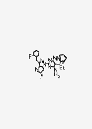 CC[C](c1ccccn1)c1c(N)nc(-n2nc(Cc3ccccc3F)c3ncc(F)cc32)nc1N